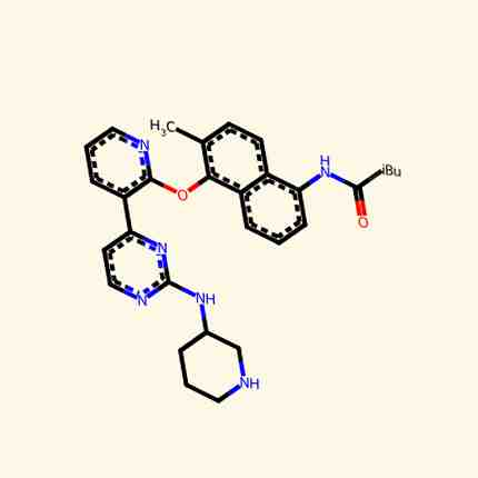 CCC(C)C(=O)Nc1cccc2c(Oc3ncccc3-c3ccnc(NC4CCCNC4)n3)c(C)ccc12